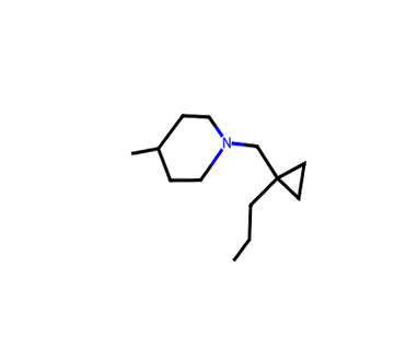 CCCC1(CN2CCC(C)CC2)CC1